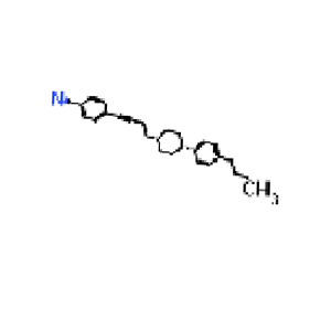 CCCCc1ccc([C@H]2CC[C@H](/C=C/C#Cc3ccc(C#N)cc3)CC2)cc1